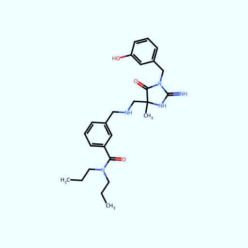 CCCN(CCC)C(=O)c1cccc(CNCC2(C)NC(=N)N(Cc3cccc(O)c3)C2=O)c1